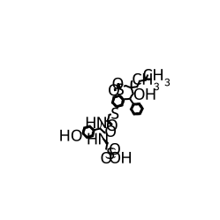 CCCCC1(CC)CS(=O)(=O)c2ccc(SCC(=O)N[C@@H](C(=O)NCCS(=O)(=O)O)c3ccc(O)cc3)cc2C(c2ccccc2)C1O